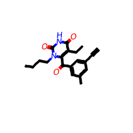 C#Cc1cc(C)cc(C(=O)c2c(CC)c(=O)[nH]c(=O)n2CCCC)c1